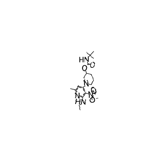 CCNc1nc(C)cc(N2CCCC(OC(=O)NC(C)(C)C)C2)c1[N+](=O)[O-]